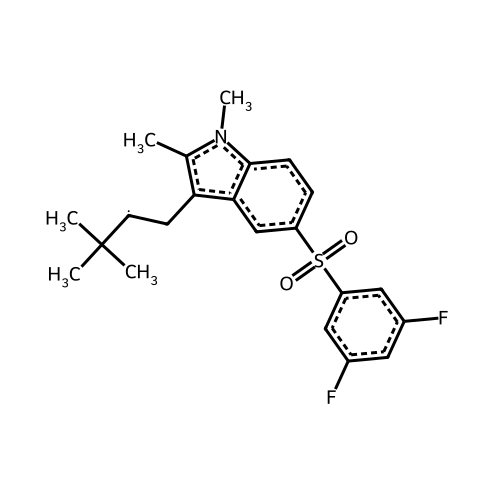 Cc1c(C[CH]C(C)(C)C)c2cc(S(=O)(=O)c3cc(F)cc(F)c3)ccc2n1C